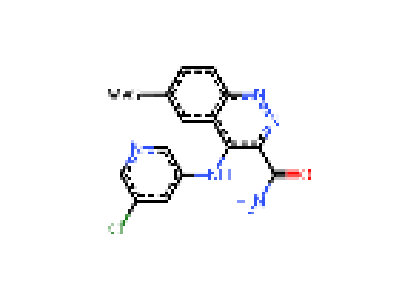 CSc1ccc2nnc(C(N)=O)c(Nc3cncc(Cl)c3)c2c1